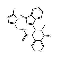 Cc1ccc(CNC(=O)C2c3ccccc3C(=O)N(C)C2c2cn(C)c3ccccc23)o1